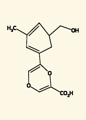 CC1=CC(CO)CC(C2=COC=C(C(=O)O)O2)=C1